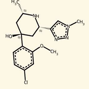 COc1cc(Cl)ccc1[C@@]1(O)C[C@@H](c2cn(C)nn2)N[C@@H](C)C1